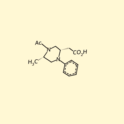 CC(=O)N1C[C@H](CC(=O)O)N(c2ccccc2)C[C@@H]1C